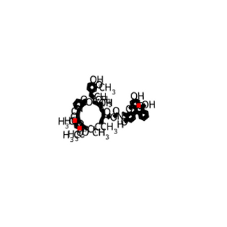 COC1CC(/C=C(\C)[C@H]2OC(=O)C3CCCCN3C(=O)C(=O)C3(O)O[C@@H](C(OC)CC3C)[C@@H](OC)C[C@@H](C)C/C(C)=C/[C@@H](CCOC(=O)NCc3c4oc5cc(O)ccc5c(-c5ccccc5C(=O)O)c-4ccc3=O)C(=O)CC(O)[C@H]2C)CCC1O